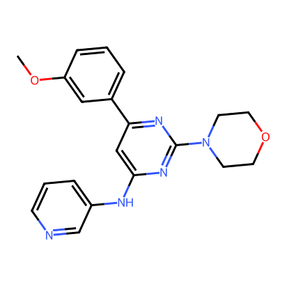 COc1cccc(-c2cc(Nc3cccnc3)nc(N3CCOCC3)n2)c1